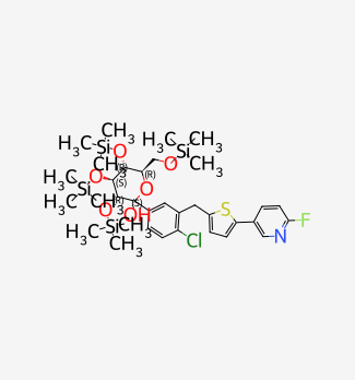 C[Si](C)(C)OC[C@H]1O[C@@](O)(c2ccc(Cl)c(Cc3ccc(-c4ccc(F)nc4)s3)c2)[C@H](O[Si](C)(C)C)[C@@H](O[Si](C)(C)C)[C@@H]1O[Si](C)(C)C